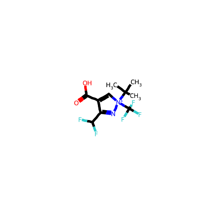 CC(C)(C)[N+]1(C(F)(F)F)C=C(C(=O)O)C(C(F)F)=N1